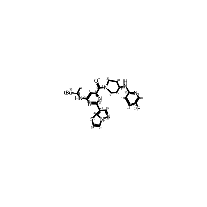 C[C@@H](Nc1cc(C(=O)N2CCC(Nc3ccc(F)cn3)CC2)nc(-c2cnn3ccsc23)n1)C(C)(C)C